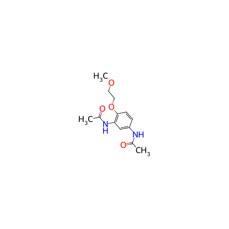 COCCOc1ccc(NC(C)=O)cc1NC(C)=O